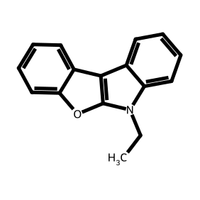 CCn1c2ccccc2c2c3ccccc3oc21